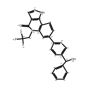 O=c1c2cn[nH]c2c2ccc(-c3ccc(C(O)c4ccccc4)cn3)cc2n1CC(F)(F)F